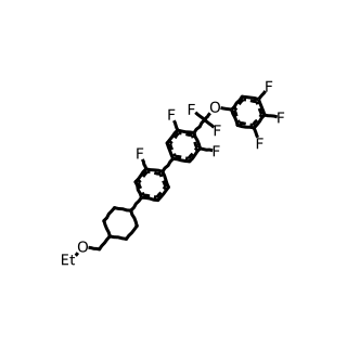 CCOCC1CCC(c2ccc(-c3cc(F)c(C(F)(F)Oc4cc(F)c(F)c(F)c4)c(F)c3)c(F)c2)CC1